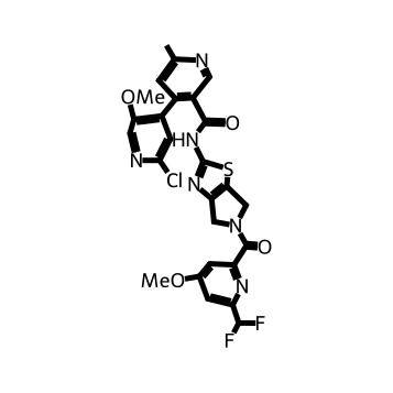 COc1cc(C(=O)N2Cc3nc(NC(=O)c4cnc(C)cc4-c4cc(Cl)ncc4OC)sc3C2)nc(C(F)F)c1